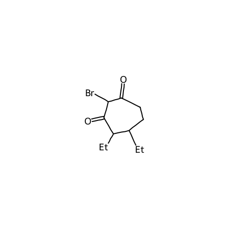 CCC1CCC(=O)C(Br)C(=O)C1CC